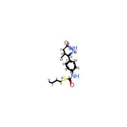 CCCCSC(=O)Nc1ccc(C2=NNC(=O)CC2C)cc1